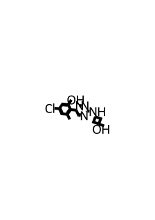 Cc1cc(Cl)cc(O)c1-c1cnc(NC2CC(C)(O)C2)nn1